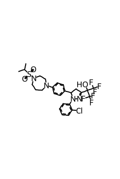 CC(C)S(=O)(=O)N1CCCN(c2ccc(C3CC(C(O)(C(F)(F)F)C(F)(F)F)=NN3c3ccccc3Cl)cc2)CC1